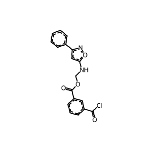 O=C(Cl)c1cccc(C(=O)OCNc2cc(-c3ccccc3)no2)c1